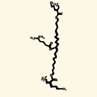 CCCCC(CC)C(=O)OCCCCCCCCCC(CCCCCCCCCOC(=O)C(CC)CCCC)OC(=O)CCCN(C)C